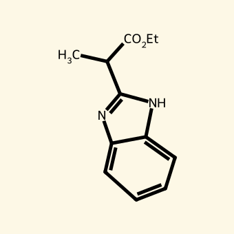 CCOC(=O)C(C)c1nc2ccccc2[nH]1